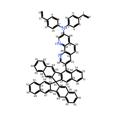 C=Cc1ccc(N(c2ccc(C=C)cc2)c2cnc3c(ccc4cc(-c5c6c(cc7ccccc57)C5(c7cc8ccccc8cc7-c7cc8ccccc8cc75)c5cc7ccccc7cc5-6)cnc43)c2)cc1